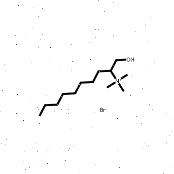 CCCCCCCCC(CO)[N+](C)(C)C.[Br-]